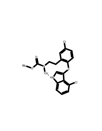 CN(CCc1cc(Cl)ccc1Sc1c[nH]c2cccc(Cl)c12)C(=O)OC(C)(C)C